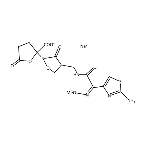 CON=C(C(=O)NCC1CON(C2(C(=O)[O-])CCC(=O)O2)C1=O)c1csc(N)n1.[Na+]